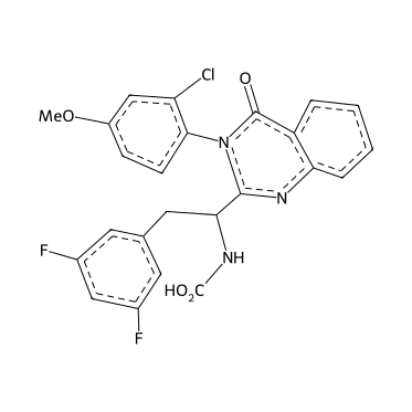 COc1ccc(-n2c(C(Cc3cc(F)cc(F)c3)NC(=O)O)nc3ccccc3c2=O)c(Cl)c1